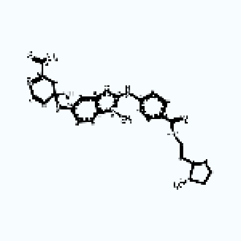 CN1CCCC1CCNC(=O)c1ccc(Nc2nc3cc(OC4(C)C=CN=C(C(N)=O)C4)ccc3n2C)cc1